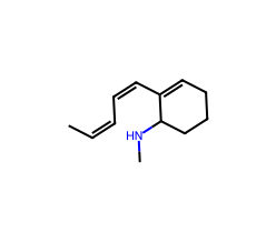 C/C=C\C=C/C1=CCCCC1NC